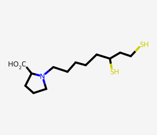 O=C(O)C1CCCN1CCCCCC(S)CCS